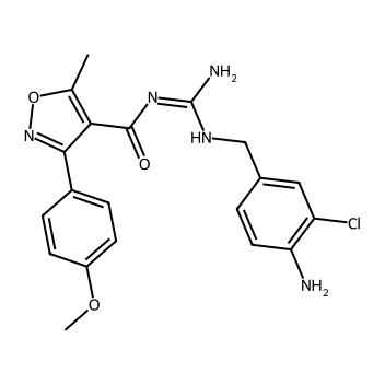 COc1ccc(-c2noc(C)c2C(=O)/N=C(/N)NCc2ccc(N)c(Cl)c2)cc1